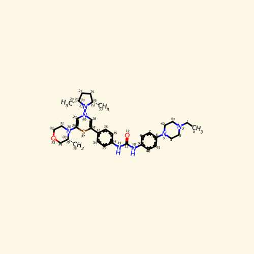 CCN1CCN(c2ccc(NC(=O)Nc3ccc(C4=CN(N5[C@H](C)CC[C@@H]5C)C=C(N5CCOC[C@H]5C)S4)cc3)cc2)CC1